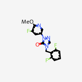 COc1ncc(-n2ncn(Cc3c(F)cccc3F)c2=O)cc1F